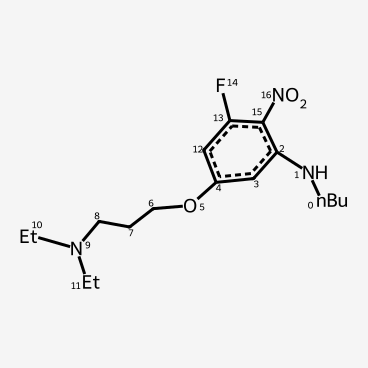 CCCCNc1cc(OCCCN(CC)CC)cc(F)c1[N+](=O)[O-]